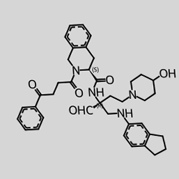 O=C[C@@](CCN1CCC(O)CC1)(CNc1ccc2c(c1)CCC2)NC(=O)[C@@H]1Cc2ccccc2CN1C(=O)CCC(=O)c1ccccc1